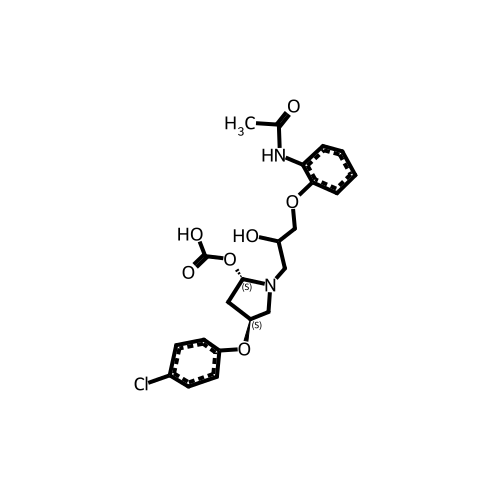 CC(=O)Nc1ccccc1OCC(O)CN1C[C@@H](Oc2ccc(Cl)cc2)C[C@@H]1OC(=O)O